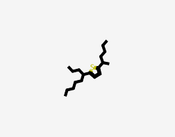 CCCCCC(CCC)c1ccc(C(C)CCCC)s1